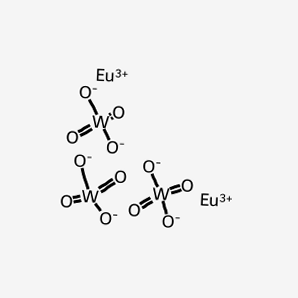 [Eu+3].[Eu+3].[O]=[W](=[O])([O-])[O-].[O]=[W](=[O])([O-])[O-].[O]=[W](=[O])([O-])[O-]